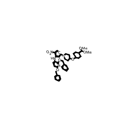 COC(OC)C1CCC(OC2CCN(c3ccc([N+](=O)[O-])c(Nc4ccc(OCc5ccccc5)nc4OCc4ccccc4)c3)CC2)CC1